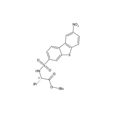 CC(C)[C@H](NS(=O)(=O)c1ccc2c(c1)sc1ccc([N+](=O)[O-])cc12)C(=O)OC(C)(C)C